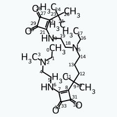 CCN(C)CCNc1c(C(C)(C)CCCN(CC)CCNc2c(C(C)(C)C)c(=O)c2=O)c(=O)c1=O